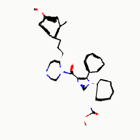 COC(=O)N[C@H]1CCCC[C@@H]1n1cnc(C(=O)N2CCNC[C@H]2CCCc2ccc(OC)cc2C)c1-c1ccccc1